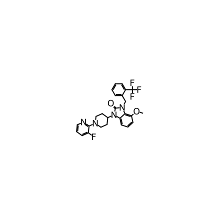 COc1cccc2c1n(Cc1ccccc1C(F)(F)F)c(=O)n2C1CCN(c2ncccc2F)CC1